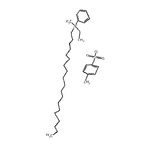 CCCCCCCCCCCCCCCCCCC[N+](C)(CC)c1ccccc1.Cc1ccc(S(=O)(=O)[O-])cc1